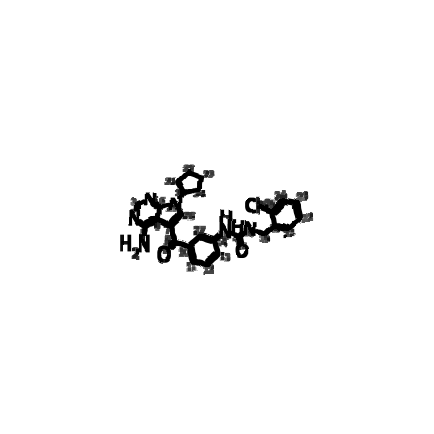 Nc1ncnc2c1c(C(=O)c1cccc(NC(=O)NCc3ccccc3Cl)c1)cn2C1CCCC1